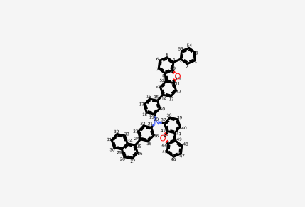 c1ccc(-c2cccc3c2oc2ccc(-c4cccc(N(c5ccc(-c6cccc7ccccc67)cc5)c5cccc6c5oc5ccccc56)c4)cc23)cc1